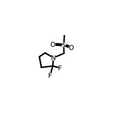 CS(=O)(=O)CN1CCCC1(F)F